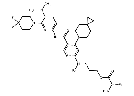 CC[C@H](N)C(=O)OCCSN(O)c1ccc(C(=O)NC2=CCC(N(C)C)C(N3CCC(F)(F)CC3)=N2)c(N2CCC3(CC2)CC3)c1